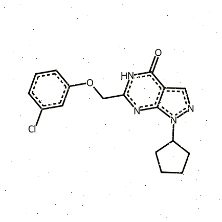 O=c1[nH]c(COc2cccc(Cl)c2)nc2c1cnn2C1CCCC1